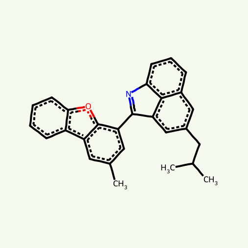 Cc1cc(C2=Nc3cccc4cc(CC(C)C)cc2c34)c2oc3ccccc3c2c1